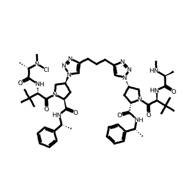 CN[C@@H](C)C(=O)N[C@H](C(=O)N1C[C@@H](n2cc(CCCc3cn([C@H]4C[C@@H](C(=O)N[C@H](C)c5ccccc5)N(C(=O)[C@@H](NC(=O)[C@H](C)N(C)Cl)C(C)(C)C)C4)nn3)nn2)C[C@H]1C(=O)N[C@H](C)c1ccccc1)C(C)(C)C